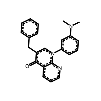 CN(C)c1cccc(-n2cc(Cc3ccccc3)c(=O)c3cccnc32)c1